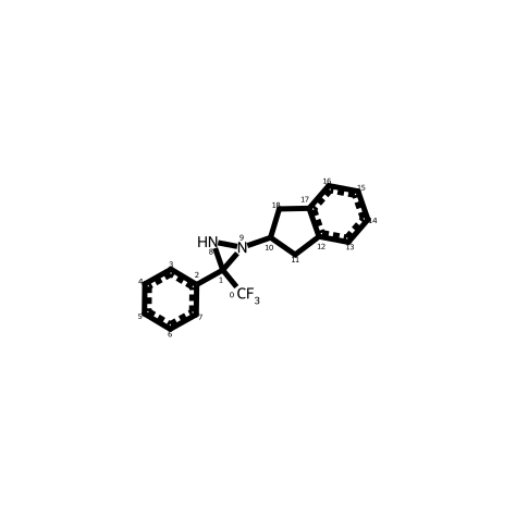 FC(F)(F)C1(c2ccccc2)NN1C1Cc2ccccc2C1